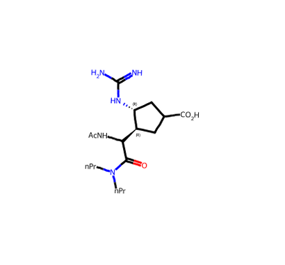 CCCN(CCC)C(=O)C(NC(C)=O)[C@@H]1CC(C(=O)O)C[C@H]1NC(=N)N